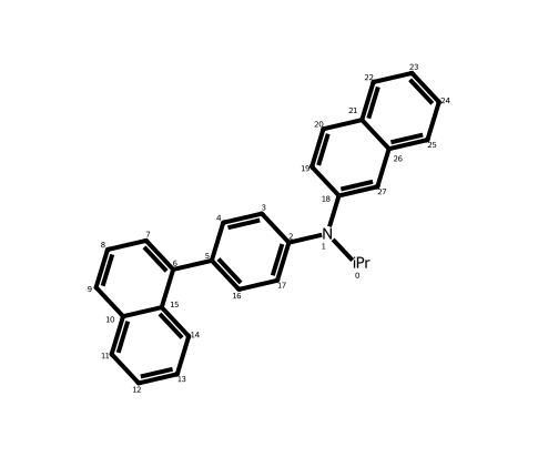 CC(C)N(c1ccc(-c2cccc3ccccc23)cc1)c1ccc2ccccc2c1